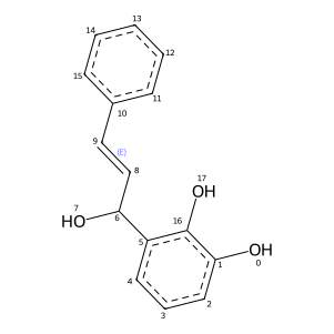 Oc1cccc(C(O)/C=C/c2ccccc2)c1O